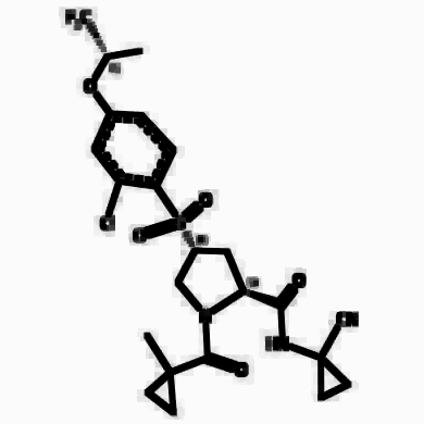 C[C@H](Oc1ccc(S(=O)(=O)[C@@H]2C[C@@H](C(=O)NC3(C#N)CC3)N(C(=O)C3(C)CC3)C2)c(Cl)c1)C(F)(F)F